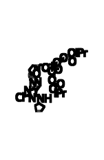 CC(C)OC(=O)OCOP(=O)(COC[C@@H]1CC[C@@H](Cn2ncc3c(NC4CCCC4)nc(Cl)nc32)O1)OCOC(=O)OC(C)C